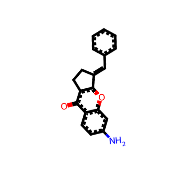 Nc1ccc2c(=O)c3c(oc2c1)C(=Cc1ccccc1)CC3